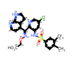 Cc1ccc(S(=O)(=O)Nc2cc(Cl)cnc2/C(=N/OCC(=O)O)c2ccnc3[nH]ccc23)cc1C(F)(F)F